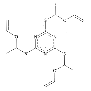 C=COC(C)Sc1nc(SC(C)OC=C)nc(SC(C)OC=C)n1